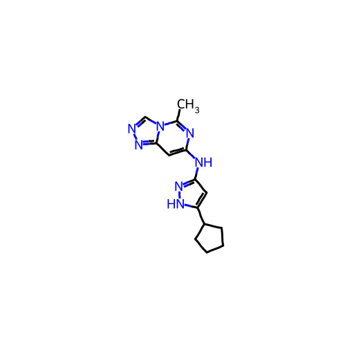 Cc1nc(Nc2cc(C3CCCC3)[nH]n2)cc2nncn12